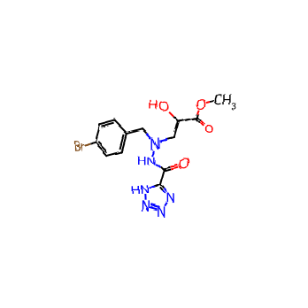 COC(=O)C(O)CN(Cc1ccc(Br)cc1)NC(=O)c1nnn[nH]1